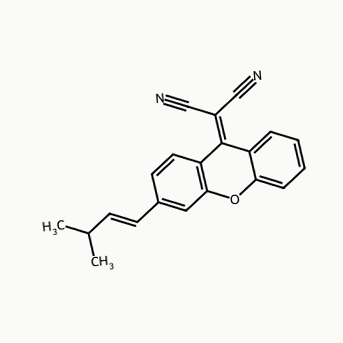 CC(C)/C=C/c1ccc2c(c1)Oc1ccccc1C2=C(C#N)C#N